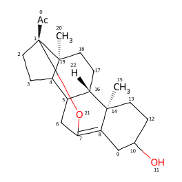 CC(=O)[C@@]12CCC3C4CC(=C5CC(O)CC[C@]5(C)[C@H]4CC[C@@]31C)O2